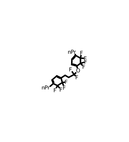 CCCC1=CC=C(CCC(F)(F)OC2=CC=C(CCC)C(F)(F)C2(F)F)C(F)(F)C1(F)F